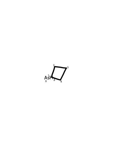 [AsH3].[CH]1CCC1